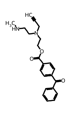 C#CCN(CCNC)CCOC(=O)c1ccc(C(=O)c2ccccc2)cc1